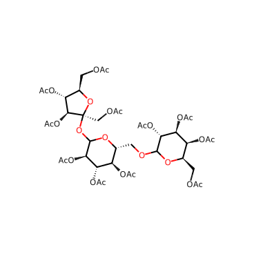 CC(=O)OC[C@H]1OC(OC[C@H]2OC(O[C@]3(COC(C)=O)O[C@H](COC(C)=O)[C@@H](OC(C)=O)[C@@H]3OC(C)=O)[C@H](OC(C)=O)[C@@H](OC(C)=O)[C@@H]2OC(C)=O)[C@H](OC(C)=O)[C@@H](OC(C)=O)[C@H]1OC(C)=O